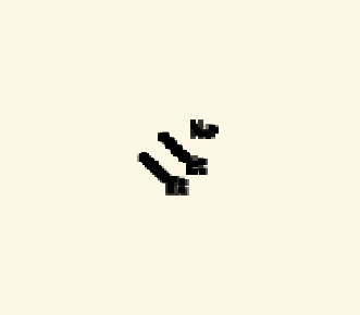 CCC.CCC.[Na]